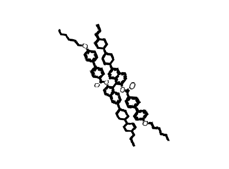 CCCCCCOc1ccc(-c2ccc(C(=O)Oc3ccc4cc(C5CCC(C6CCC(CCC)CC6)CC5)ccc4c3-c3c(OC(=O)c4ccc(-c5ccc(OCCCCCC)cc5)cc4)ccc4cc(C5CCC(C6CCC(CCC)CC6)CC5)ccc34)cc2)cc1